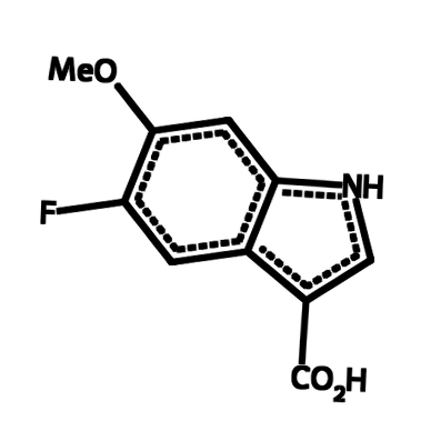 COc1cc2[nH]cc(C(=O)O)c2cc1F